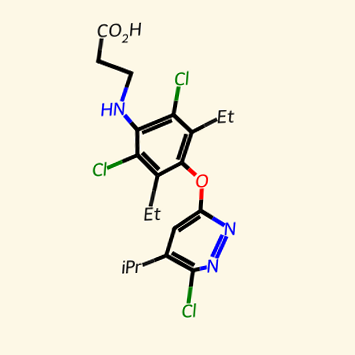 CCc1c(Cl)c(NCCC(=O)O)c(Cl)c(CC)c1Oc1cc(C(C)C)c(Cl)nn1